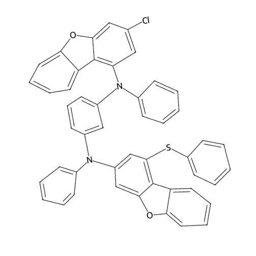 Clc1cc(N(c2ccccc2)c2cccc(N(c3ccccc3)c3cc(Sc4ccccc4)c4c(c3)oc3ccccc34)c2)c2c(c1)oc1ccccc12